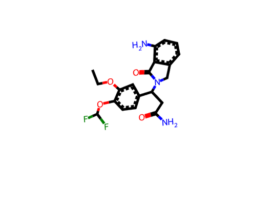 CCOc1cc(C(CC(N)=O)N2Cc3cccc(N)c3C2=O)ccc1OC(F)F